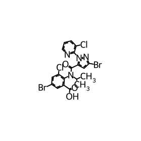 CC(C)N(C(=O)c1cc(Br)nn1-c1ncccc1Cl)c1c(Cl)cc(Br)cc1C(=O)O